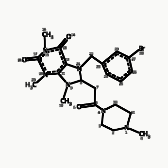 CN1CCN(C(=O)CC2N(C)c3c(c(=O)n(C)c(=O)n3C)N2Cc2cccc(Br)c2)CC1